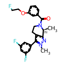 C[C@H]1c2nn(C)c(-c3cc(F)cc(F)c3)c2CCN1C(=O)c1cccc(OCCF)c1